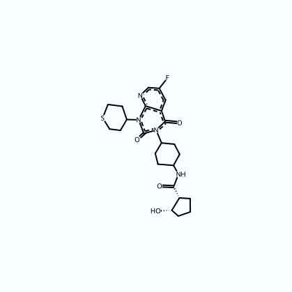 O=C(NC1CCC(n2c(=O)c3cc(F)cnc3n(C3CCSCC3)c2=O)CC1)[C@@H]1CCC[C@@H]1O